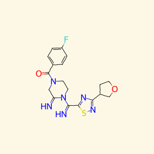 N=C1CN(C(=O)c2ccc(F)cc2)CCN1C(=N)c1nc(C2CCOC2)ns1